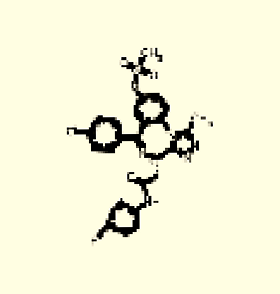 Cc1nnc2n1-c1ccc(OS(C)(=O)=O)cc1C(c1ccc(Cl)cc1)=N[C@H]2CC(=O)Nc1ccc(F)cc1